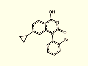 O=c1nc(O)c2ccc(C3CC3)cc2n1-c1ccccc1Br